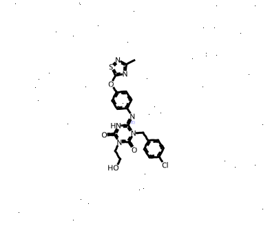 Cc1nsc(Oc2ccc(/N=c3\[nH]c(=O)n(CCO)c(=O)n3Cc3ccc(Cl)cc3)cc2)n1